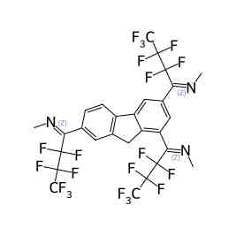 C/N=C(/c1ccc2c(c1)Cc1c(/C(=N/C)C(F)(F)C(F)(F)C(F)(F)F)cc(/C(=N/C)C(F)(F)C(F)(F)C(F)(F)F)cc1-2)C(F)(F)C(F)(F)C(F)(F)F